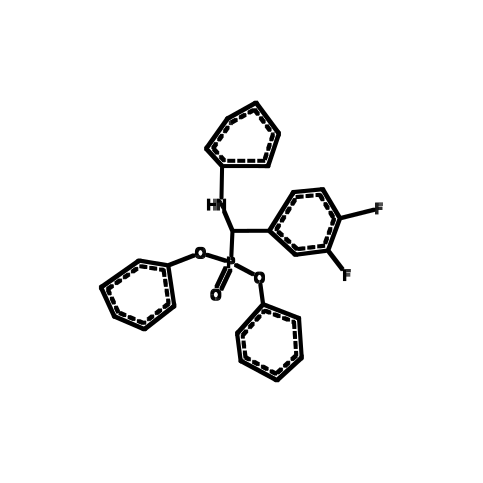 O=P(Oc1ccccc1)(Oc1ccccc1)C(Nc1ccccc1)c1ccc(F)c(F)c1